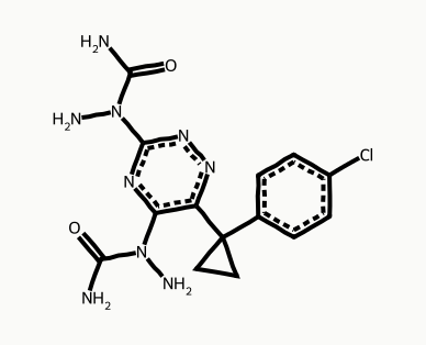 NC(=O)N(N)c1nnc(C2(c3ccc(Cl)cc3)CC2)c(N(N)C(N)=O)n1